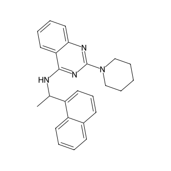 CC(Nc1nc(N2CCCCC2)nc2ccccc12)c1cccc2ccccc12